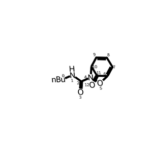 CCCCNC(=O)N1OC2=CC=CC1C2=O